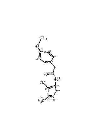 COc1ccc(CC(=O)Nc2snc(C)c2Cl)cc1